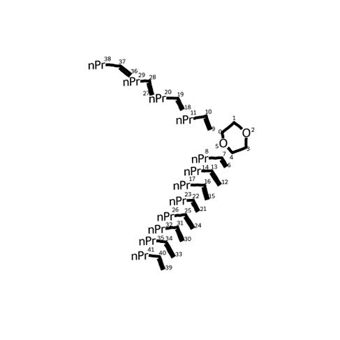 C1COCCO1.C=CCCC.C=CCCC.C=CCCC.C=CCCC.C=CCCC.C=CCCC.C=CCCC.C=CCCC.C=CCCC.C=CCCC.C=CCCC.C=CCCC